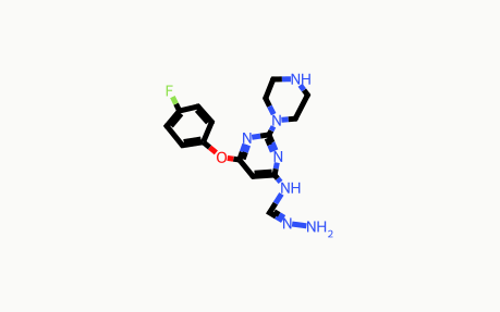 N/N=C\Nc1cc(Oc2ccc(F)cc2)nc(N2CCNCC2)n1